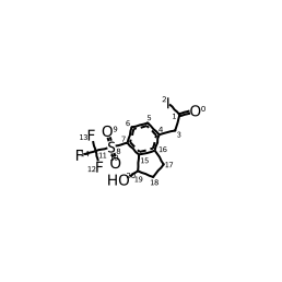 O=C(I)Cc1ccc(S(=O)(=O)C(F)(F)F)c2c1CCC2O